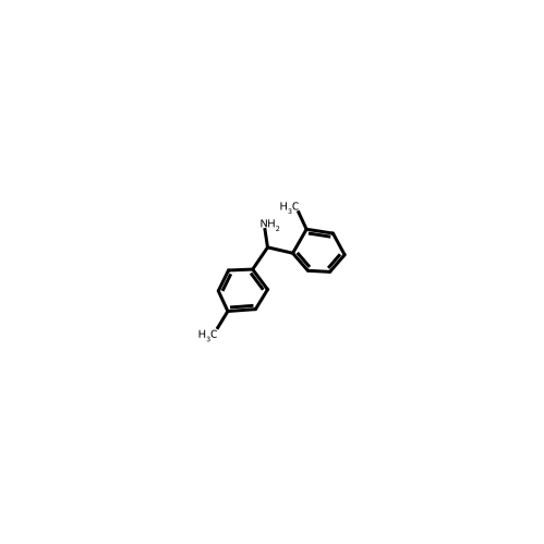 Cc1ccc(C(N)c2ccccc2C)cc1